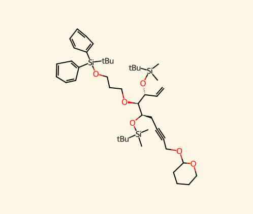 C=C[C@@H](O[Si](C)(C)C(C)(C)C)[C@H](OCCCO[Si](c1ccccc1)(c1ccccc1)C(C)(C)C)[C@@H](CC#CCOC1CCCCO1)O[Si](C)(C)C(C)(C)C